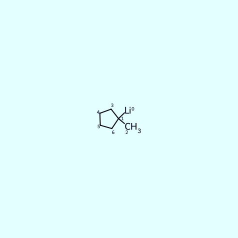 [Li][C]1(C)CCCC1